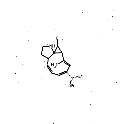 CCCN(CC)C1=C/C=CC2CCNC23C(C)C3\C(C)=C\1